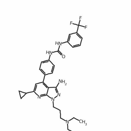 CCN(CC)CCCn1nc(N)c2c(-c3ccc(NC(=O)Nc4cccc(C(F)(F)F)c4)cc3)cc(C3CC3)nc21